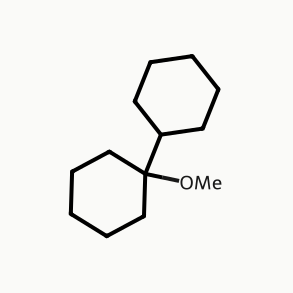 COC1(C2CCCCC2)CCCCC1